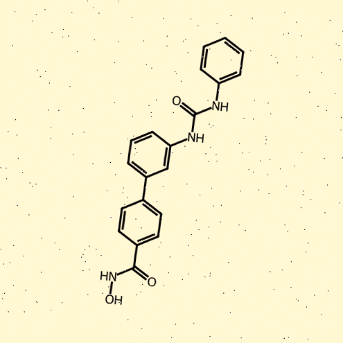 O=C(Nc1ccccc1)Nc1cccc(-c2ccc(C(=O)NO)cc2)c1